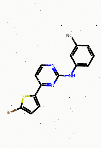 N#Cc1cccc(Nc2nccc(-c3ccc(Br)s3)n2)c1